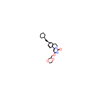 O=c1nc(OCC2COCCO2)cc2n1CCc1cc(C#CC3CCCCC3)ccc1-2